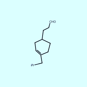 CC(C)CC1=CCC(CCC=O)CC1